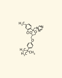 Cc1ccc(C2(Cn3cncn3)OCC(COc3ccc(C(C)(C)C)cc3)O2)c(Cl)c1